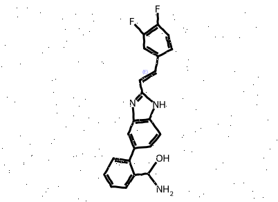 NC(O)c1ccccc1-c1ccc2[nH]c(/C=C/c3ccc(F)c(F)c3)nc2c1